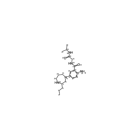 CCCC1CN(c2ccc(N)c(C(=O)NCC(=O)NC(C)C)c2)CCCN1